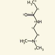 C[CH]C(=O)NCCN(C)C